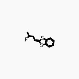 CC(F)CC=C1Sc2ccccc2S1